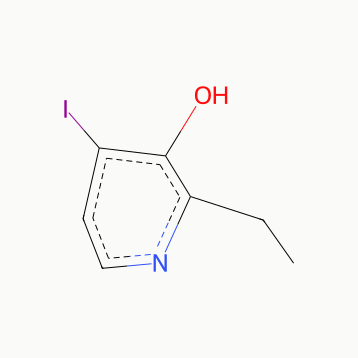 CCc1nccc(I)c1O